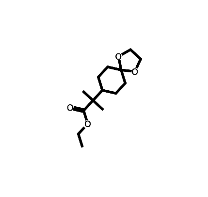 CCOC(=O)C(C)(C)C1CCC2(CC1)OCCO2